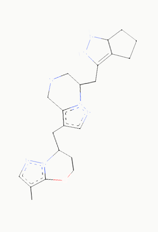 Cc1cnn2c1OCCC2Cc1cnn2c1CNCC2CC1=C2CCCC2NN1